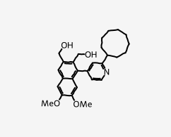 COc1cc2cc(CO)c(CO)c(-c3ccnc(C4CCCCCCCC4)c3)c2cc1OC